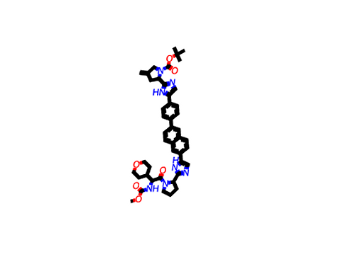 C=C1CC(c2ncc(-c3ccc(-c4ccc5cc(-c6cnc(C7CCCN7C(=O)C(NC(=O)OC)C7CCOCC7)[nH]6)ccc5c4)cc3)[nH]2)N(C(=O)OC(C)(C)C)C1